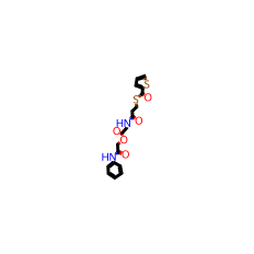 O=C(CCSC(=O)c1cccs1)NCC(=O)OCC(=O)Nc1ccccc1